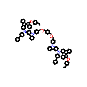 C=Cc1ccc(OCCC2(c3ccccc3)c3ccccc3-c3ccc(N(c4ccc(-c5ccccc5)cc4)c4ccc5c(c4)c4ccccc4n5-c4ccc(COCc5ccc(COCc6ccc(-n7c8ccccc8c8cc(N(c9ccc(-c%10ccccc%10)cc9)c9ccc%10c(c9)C(CCOc9ccc(C=C)cc9)(c9ccccc9)c9ccccc9-%10)ccc87)cc6)cc5)cc4)cc32)cc1